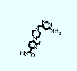 CNC(=O)c1ccc(N2CCN(Cc3cc(N)ncn3)CC2)c(F)n1